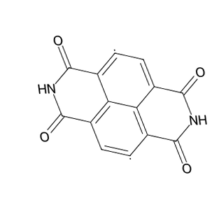 O=C1NC(=O)c2c[c]c3c4c(c[c]c1c24)C(=O)NC3=O